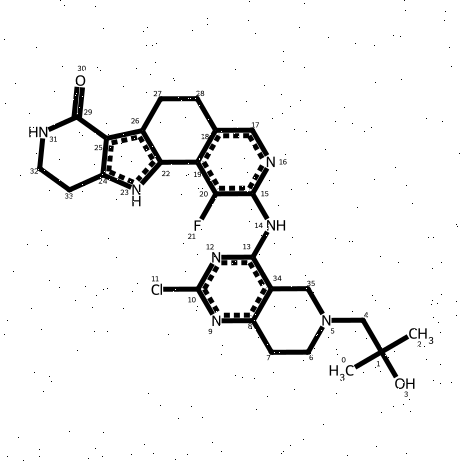 CC(C)(O)CN1CCc2nc(Cl)nc(Nc3ncc4c(c3F)-c3[nH]c5c(c3CC4)C(=O)NCC5)c2C1